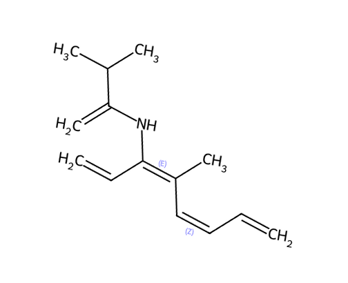 C=C/C=C\C(C)=C(/C=C)NC(=C)C(C)C